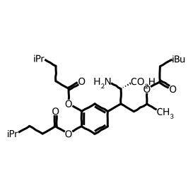 CCC(C)CC(=O)OC(C)CC(c1ccc(OC(=O)CCC(C)C)c(OC(=O)CCC(C)C)c1)[C@H](N)C(=O)O